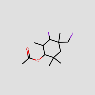 CC(=O)OC1C(C)C(I)C(C)(CI)CC1(C)C